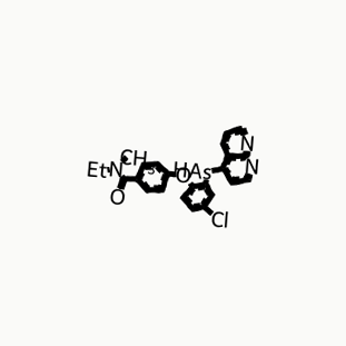 CCN(C)C(=O)c1ccc(Oc2ccc(Cl)cc2[AsH]c2ccnc3ncccc23)cc1